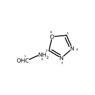 NC=O.c1nnco1